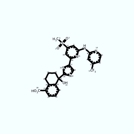 CS(=O)(=O)c1cc(Nc2cc(C(F)(F)F)ccn2)nc(-c2cnc(C3(O)CCCc4c(C(=O)O)cccc43)s2)c1